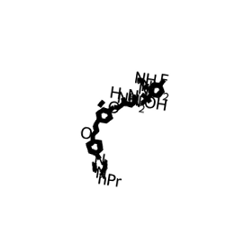 CC.CCCN1CCN(c2ccc(C(=O)/C=C/c3ccc(OC/C(N)=C/N(N)CC(O)(CN(N)C=N)c4ccc(F)cc4)cc3)cc2)CC1